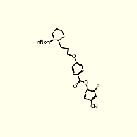 CCCCCCCCCC1CCCCC1CCCOc1ccc(C(=O)Oc2ccc(C#N)cc2F)cc1